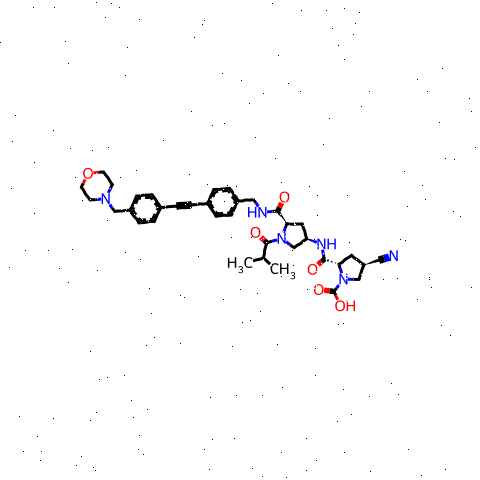 CC(C)C(=O)N1C[C@H](NC(=O)[C@@H]2C[C@@H](C#N)CN2C(=O)O)C[C@@H]1C(=O)NCc1ccc(C#Cc2ccc(CN3CCOCC3)cc2)cc1